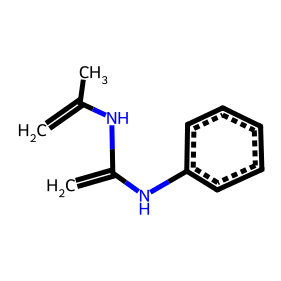 C=C(C)NC(=C)Nc1ccccc1